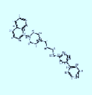 c1ccc2c(N3CCN(CCCSc4nnc(-c5ccncc5)o4)CC3)cccc2c1